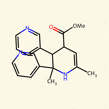 COC(=O)C1C=C(C)NC(C)(c2cccnc2)C1c1cccnc1